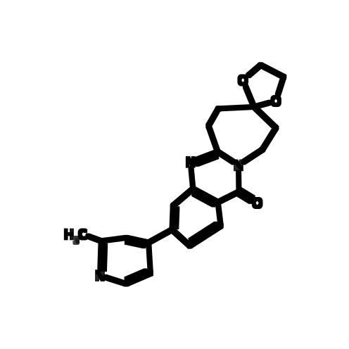 Cc1cc(-c2ccc3c(=O)n4c(nc3c2)CCC2(CC4)OCCO2)ccn1